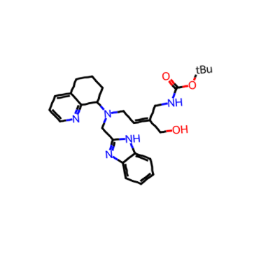 CC(C)(C)OC(=O)NC/C(=C\CN(Cc1nc2ccccc2[nH]1)C1CCCc2cccnc21)CO